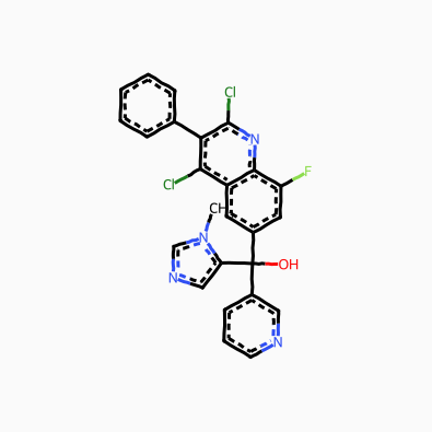 Cn1cncc1C(O)(c1cccnc1)c1cc(F)c2nc(Cl)c(-c3ccccc3)c(Cl)c2c1